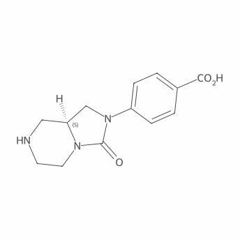 O=C(O)c1ccc(N2C[C@@H]3CNCCN3C2=O)cc1